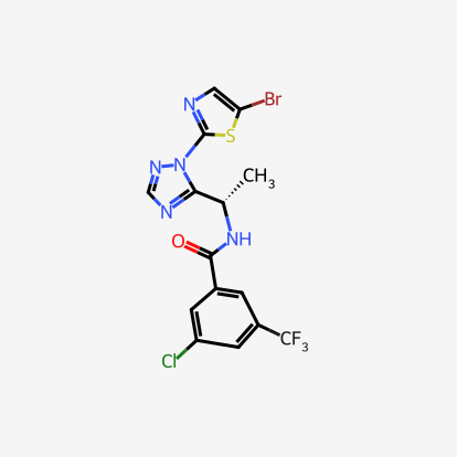 C[C@H](NC(=O)c1cc(Cl)cc(C(F)(F)F)c1)c1ncnn1-c1ncc(Br)s1